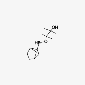 CC(C)(O)C(C)(C)OBC1CC2CCC1C2